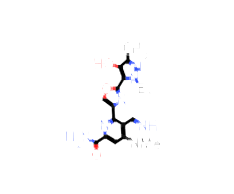 CCn1nc(C)c(O)c1-c1nc(-c2nc(C(N)=O)cc(NC)c2C=N)co1